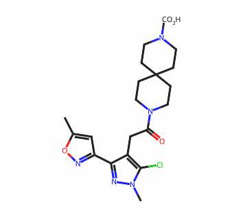 Cc1cc(-c2nn(C)c(Cl)c2CC(=O)N2CCC3(CCN(C(=O)O)CC3)CC2)no1